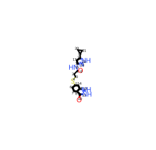 O=C(CCSc1ccc2c(=O)[nH][nH]c2c1)Nc1cc(C2CC2)[nH]n1